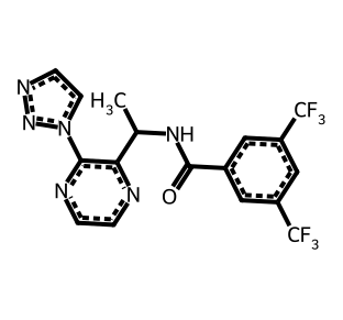 CC(NC(=O)c1cc(C(F)(F)F)cc(C(F)(F)F)c1)c1nccnc1-n1ccnn1